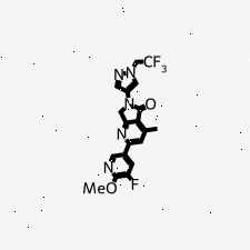 COc1ncc(-c2cc(C)c3c(n2)CN(c2cnn(CC(F)(F)F)c2)C3=O)cc1F